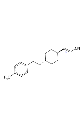 N#C/C=C/[C@H]1CC[C@H](CCc2ccc(C(F)(F)F)cc2)CC1